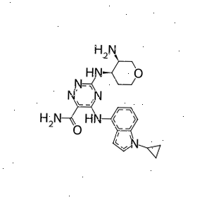 NC(=O)c1nnc(N[C@@H]2CCOC[C@@H]2N)nc1Nc1cccc2c1ccn2C1CC1